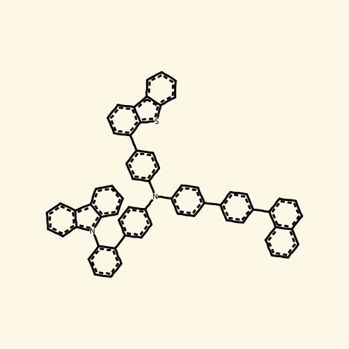 c1ccc(-n2c3ccccc3c3ccccc32)c(-c2ccc(N(c3ccc(-c4ccc(-c5cccc6ccccc56)cc4)cc3)c3ccc(-c4cccc5c4sc4ccccc45)cc3)cc2)c1